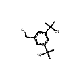 CC(C)(C#N)c1cc(CC#N)cc(C(C)(C)C#N)c1